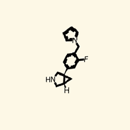 Fc1cc([C@]23CNC[C@H]2C3)ccc1Cn1cccc1